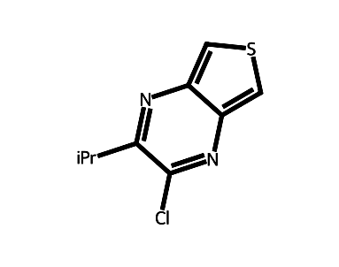 CC(C)c1nc2cscc2nc1Cl